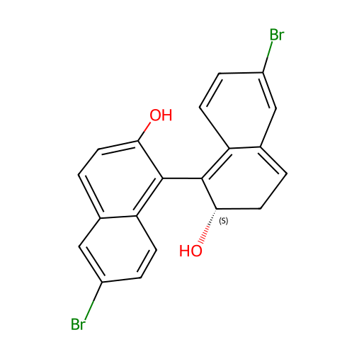 Oc1ccc2cc(Br)ccc2c1C1=c2ccc(Br)cc2=CC[C@@H]1O